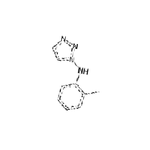 Cc1ccccc1Nn1ccnn1